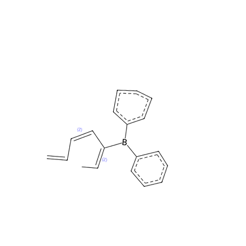 C=C/C=C\C(=C/C)B(c1ccccc1)c1ccccc1